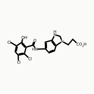 O=C(O)CCN1CNc2cc(NC(=O)c3c(O)c(Cl)cc(Cl)c3Cl)ccc21